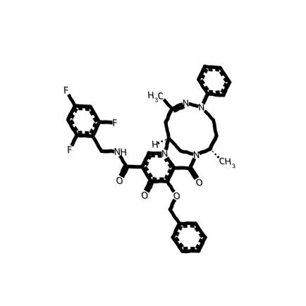 C/C1=N/N(c2ccccc2)CC[C@H](C)N2C[C@H](C1)n1cc(C(=O)NCc3c(F)cc(F)cc3F)c(=O)c(OCc3ccccc3)c1C2=O